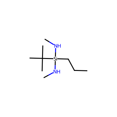 CCC[Si](NC)(NC)C(C)(C)C